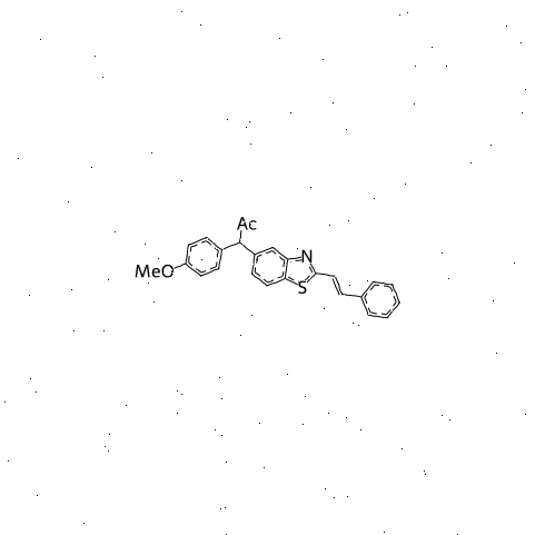 COc1ccc(C(C(C)=O)c2ccc3sc(C=Cc4ccccc4)nc3c2)cc1